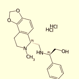 CN1CCc2c(ccc3c2OCO3)[C@@H]1CN[C@@H](CO)c1ccccc1.Cl.Cl